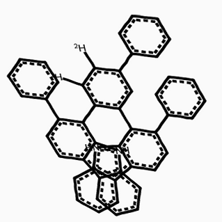 [2H]c1c(-c2ccccc2)cc(-c2c(-c3ccccc3)ccc3c2[nH]c2ccccc23)c(-c2c(-c3ccccc3)ccc3c2[nH]c2ccccc23)c1[2H]